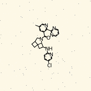 Cc1cnc(-c2ncccn2)c(C(=O)N2CC3CCC34CC(Nc3ccc(Cl)cn3)C24)c1